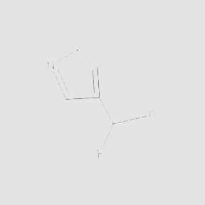 FC(F)C1=CCN=C1